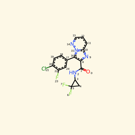 O=C(NC1CC1(F)F)c1nc2cccnn2c1-c1ccc(Cl)c(F)c1